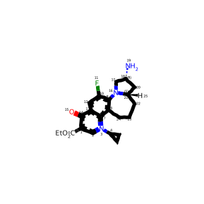 CCOC(=O)c1cn(C2CC2)c2c3c(c(F)cc2c1=O)N1C[C@H](N)C[C@@H]1CCC3